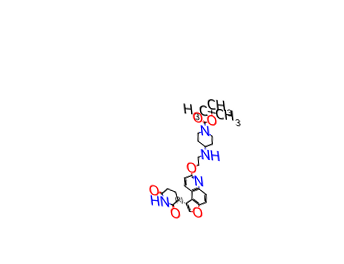 CC(C)(C)OC(=O)N1CCC(NCCOc2ccc3c(ccc4occ([C@H]5CCC(=O)NC5=O)c43)n2)CC1